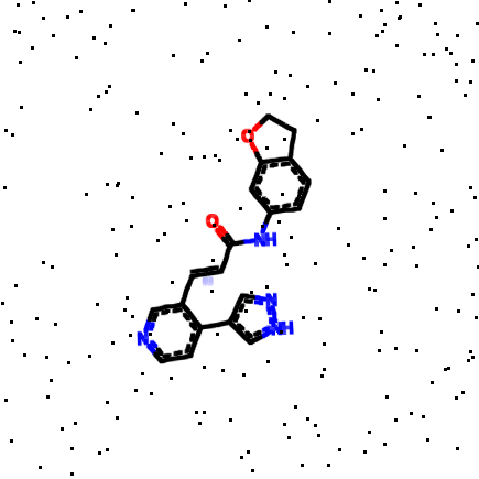 O=C(/C=C/c1cnccc1-c1cn[nH]c1)Nc1ccc2c(c1)OCC2